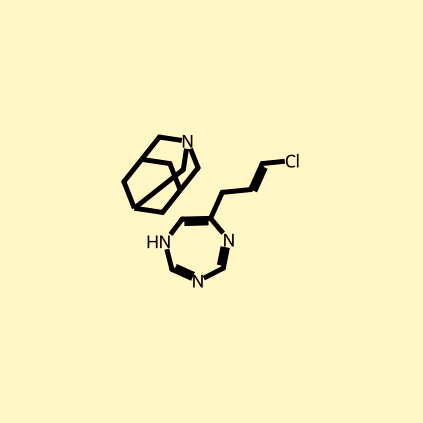 C1C2CC3CC1CN(C2)C3.ClC=CCC1=CNC=NC=N1